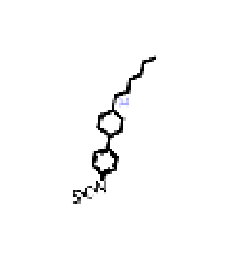 CCCC/C=C/C1CCC(c2ccc(N=C=S)cc2)CC1